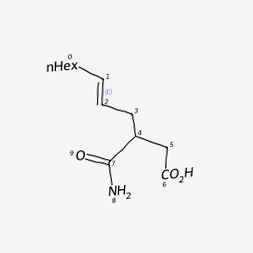 CCCCCC/C=C/CC(CC(=O)O)C(N)=O